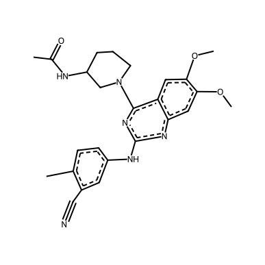 COc1cc2nc(Nc3ccc(C)c(C#N)c3)nc(N3CCCC(NC(C)=O)C3)c2cc1OC